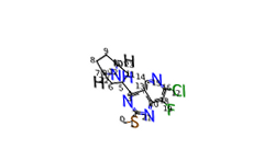 CSc1nc(C2C[C@H]3CC[C@@H](C2)N3)c2cnc(Cl)c(F)c2n1